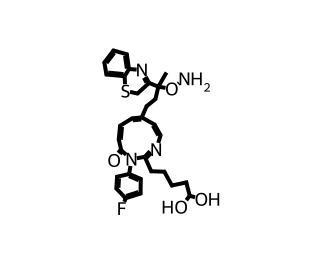 CC(CCc1cccc(=O)n(-c2ccc(F)cc2)c(CCCCC(O)O)ncc1)(ON)C1=Nc2ccccc2SC1